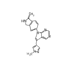 C=C1NCc2cc(-n3cc(-c4cnn(C)c4)c4cncnc43)ccc21